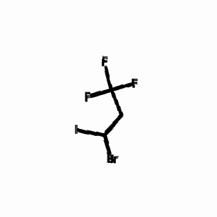 FC(F)(F)CC(Br)I